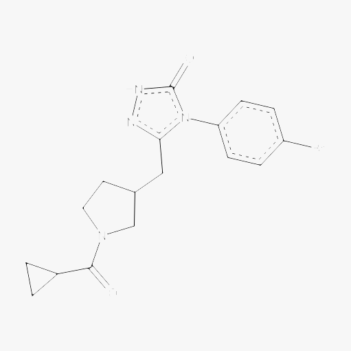 O=C(C1CC1)N1CCC(Cc2n[nH]c(=O)n2-c2ccc(Br)cc2)C1